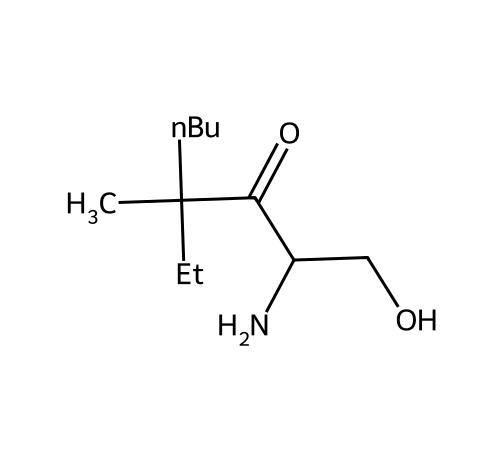 CCCCC(C)(CC)C(=O)C(N)CO